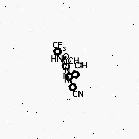 C[C@H]1CN(c2nnc(-c3ccc(C#N)cc3)c3ccccc23)CCN1C(=O)Nc1ccc(C(F)(F)F)cc1.Cl